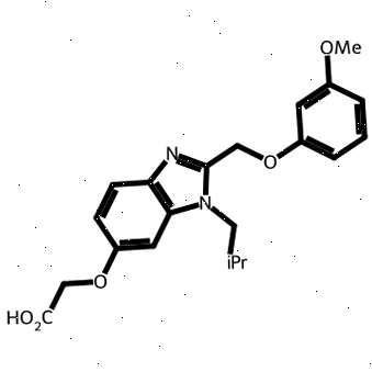 COc1cccc(OCc2nc3ccc(OCC(=O)O)cc3n2CC(C)C)c1